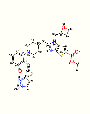 CCOC(=O)c1cc2c(nc(CC3CCN(c4cccc5c4OC(C)(c4ccn(C)n4)O5)CC3)n2C[C@@H]2CCO2)s1